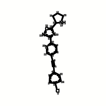 Clc1ccc(C#Cc2ccc(-c3noc(C4CCCN4)n3)nc2)cc1